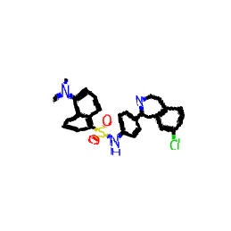 CN(C)c1cccc2c(S(=O)(=O)Nc3ccc(C4=NCCc5ccc(Cl)cc54)cc3)cccc12